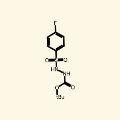 CC(C)(C)OC(=O)NNS(=O)(=O)c1ccc(F)cc1